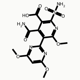 COc1cc(OC)nc(-c2c(OC)nc(S(N)(=O)=O)c(C(=O)O)c2C(N)=O)n1